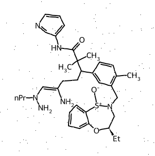 CCCN(N)/C=C(\N)CCC(c1ccc(C)c(CN2C[C@@H](CC)Oc3ccccc3[S+]2[O-])c1)C(C)(C)C(=O)Nc1cccnc1